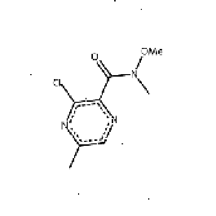 CON(C)C(=O)c1ncc(C)nc1Cl